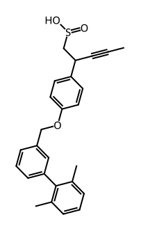 CC#CC(CS(=O)O)c1ccc(OCc2cccc(-c3c(C)cccc3C)c2)cc1